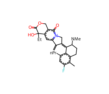 C=C1/C(=C2\c3c(CCC)cc(F)c(C)c3CCC2NC)Cn2c1cc1c(c2=O)COC(=O)C1(O)CC